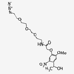 COc1cc(C(C)O)c([N+](=O)[O-])cc1OCC(=O)NCCOCCOCCOCCN=[N+]=[N-]